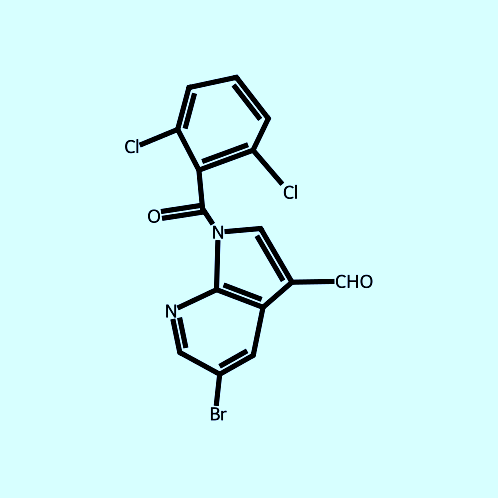 O=Cc1cn(C(=O)c2c(Cl)cccc2Cl)c2ncc(Br)cc12